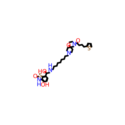 O=C(CCCc1cccs1)N1CCOC2(CCN(CCCCCCCCCNCC(O)c3ccc(O)c4[nH]c(=O)sc34)CC2)C1